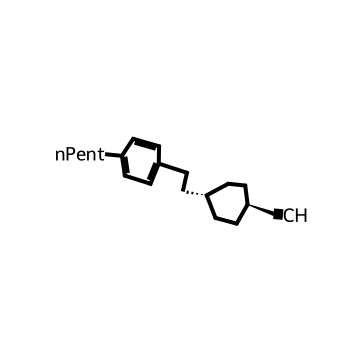 C#C[C@H]1CC[C@H](CCc2ccc(CCCCC)cc2)CC1